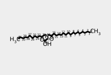 CCCCCCCCCCCCCCCCCC(=O)CN(CCCCCCCCCCCC)CC(=O)O